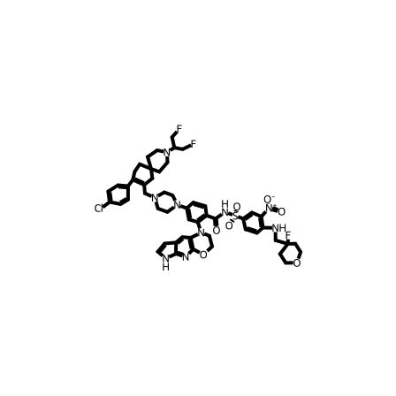 O=C(NS(=O)(=O)c1ccc(NCC2(F)CCOCC2)c([N+](=O)[O-])c1)c1ccc(N2CCN(CC3=C(c4ccc(Cl)cc4)CCC4(CCN(C(CF)CF)CC4)C3)CC2)cc1N1CCOc2nc3[nH]ccc3cc21